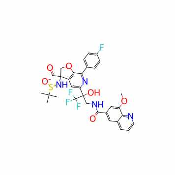 COc1cc(C(=O)NCC(O)(c2cc3c(c(-c4ccc(F)cc4)n2)OCC3(C=O)N[S+]([O-])C(C)(C)C)C(F)(F)F)cc2cccnc12